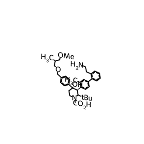 COC[C@H](C)COCc1ccc([C@@]2(O)CCN(C(=O)O)C(C(C)(C)C)[C@@H]2c2ccc(-c3ccccc3CCN)cc2C)cc1